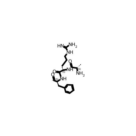 C[C@H](N)C(=O)N[C@@H](CCCNC(=N)N)C(=O)N[C@H]([C]=O)Cc1ccccc1